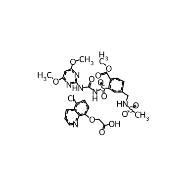 COC(=O)c1ccc(CNS(C)(=O)=O)cc1S(=O)(=O)NC(=O)Nc1nc(OC)cc(OC)n1.O=C(O)COc1ccc(Cl)c2cccnc12